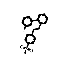 CS(=O)(=O)c1ccc(CCc2ccccc2-c2cccc(F)c2)cc1